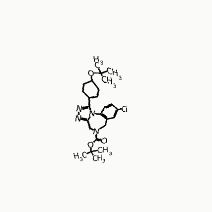 CC(C)(C)OC(=O)N1Cc2cc(Cl)ccc2-n2c(nnc2C2CCC(OC(C)(C)C)CC2)C1